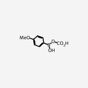 COc1ccc(B(O)OC(=O)O)cc1